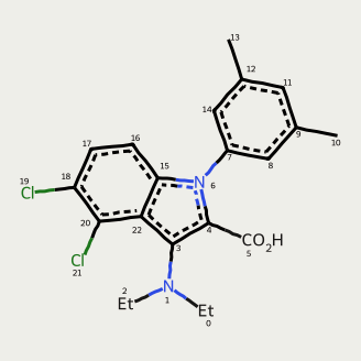 CCN(CC)c1c(C(=O)O)n(-c2cc(C)cc(C)c2)c2ccc(Cl)c(Cl)c12